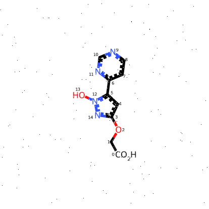 O=C(O)COc1cc(-c2ccncn2)n(O)n1